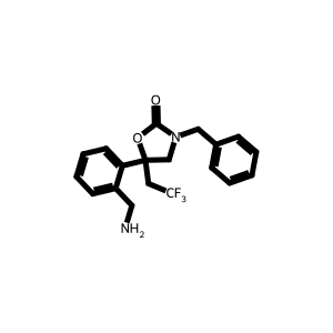 NCc1ccccc1C1(CC(F)(F)F)CN(Cc2ccccc2)C(=O)O1